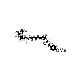 COc1ccc(COC(=O)NC(C)(C)CCCCCCCNCCC(C)(C)NC(=O)OC(C)(C)C)cc1